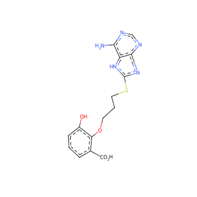 Nc1ncnc2nc(SCCCOc3c(O)cccc3C(=O)O)[nH]c12